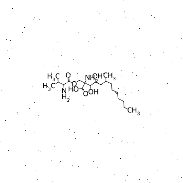 CCCCCCCC(C)CC(O)C(O)C(N)(COC(=O)C(N)C(C)C)C(=O)O